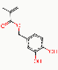 C=C(C)C(=O)OCc1ccc(O)c(O)c1